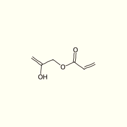 C=CC(=O)OCC(=C)O